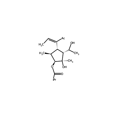 C/C=C(/C(C)=O)[C@H]1[C@H](C)[C@H](OC(=O)C(C)C)[C@](C)(O)[C@H]1C(C)O